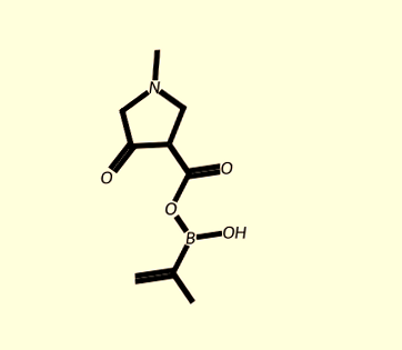 C=C(C)B(O)OC(=O)C1CN(C)CC1=O